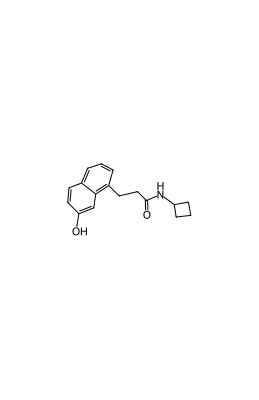 O=C(CCc1cccc2ccc(O)cc12)NC1CCC1